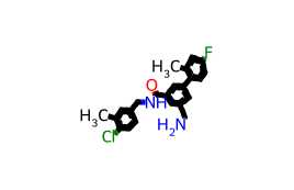 Cc1cc(CNC(=O)c2cc(CN)cc(-c3ccc(F)cc3C)c2)ccc1Cl